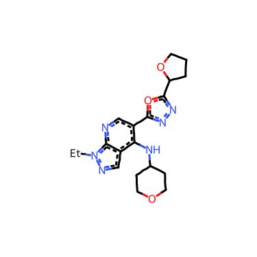 CCn1ncc2c(NC3CCOCC3)c(-c3nnc(C4CCCO4)o3)cnc21